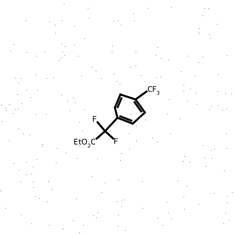 CCOC(=O)C(F)(F)c1ccc(C(F)(F)F)cc1